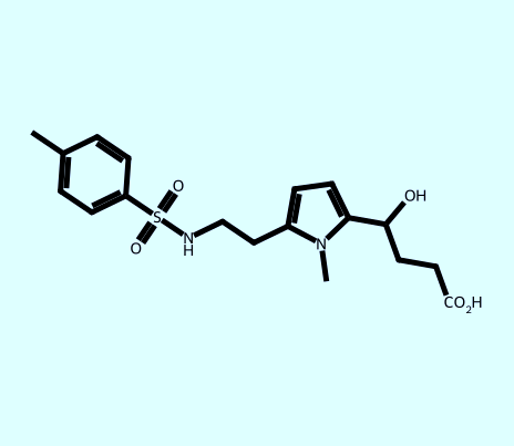 Cc1ccc(S(=O)(=O)NCCc2ccc(C(O)CCC(=O)O)n2C)cc1